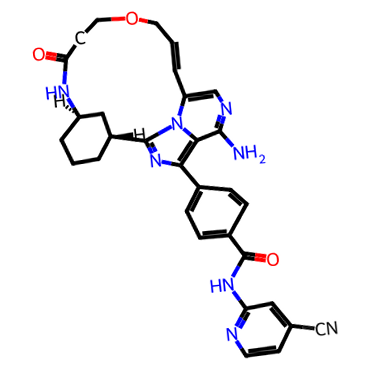 N#Cc1ccnc(NC(=O)c2ccc(-c3nc4n5c(cnc(N)c35)/C=C/COCCC(=O)N[C@@H]3CCC[C@@H]4C3)cc2)c1